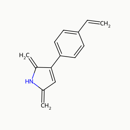 C=Cc1ccc(-c2cc(=C)[nH]c2=C)cc1